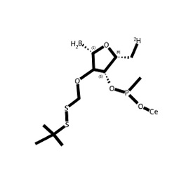 [2H]C[C@H]1O[C@@H](B)C(OCSSC(C)(C)C)[C@H]1OP(C)[O][Ce]